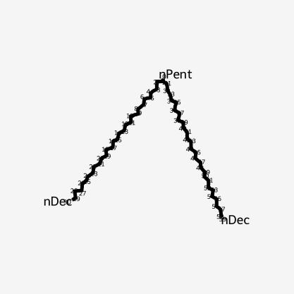 [CH2]CCCC[C](CCCCCCCCCCCCCCCCCCCCCCCCCCCCCCCCCCCCCC)CCCCCCCCCCCCCCCCCCCCCCCCCCCCCCCCCCCCCC